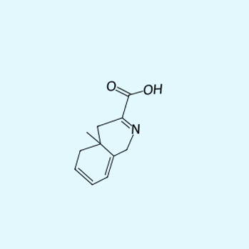 CC12CC=CC=C1CN=C(C(=O)O)C2